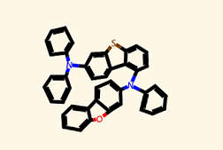 c1ccc(N(c2ccccc2)c2ccc3c(c2)sc2cccc(N(c4ccccc4)c4ccc5c(c4)oc4ccccc45)c23)cc1